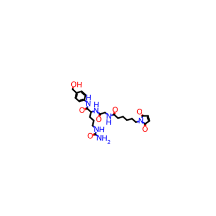 NC(=O)NCCCC(NC(=O)CNC(=O)CCCCCN1C(=O)C=CC1=O)C(=O)Nc1ccc(CO)cc1